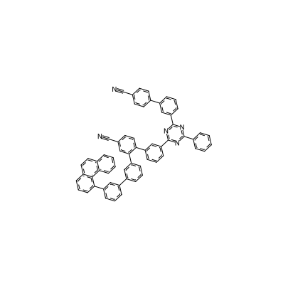 N#Cc1ccc(-c2cccc(-c3nc(-c4ccccc4)nc(-c4cccc(-c5ccc(C#N)cc5-c5cccc(-c6cccc(-c7cccc8ccc9ccccc9c78)c6)c5)c4)n3)c2)cc1